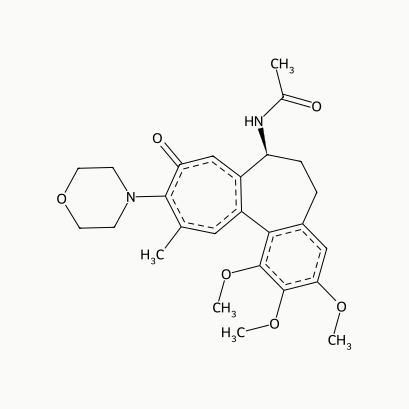 COc1cc2c(c(OC)c1OC)-c1cc(C)c(N3CCOCC3)c(=O)cc1[C@@H](NC(C)=O)CC2